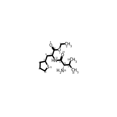 CCOC(=O)C(CC1CCCS1)NC(=O)[C@@H](N)C(C)C